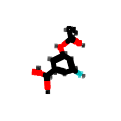 CC(=O)Oc1cc(F)cc(C(=O)O)c1